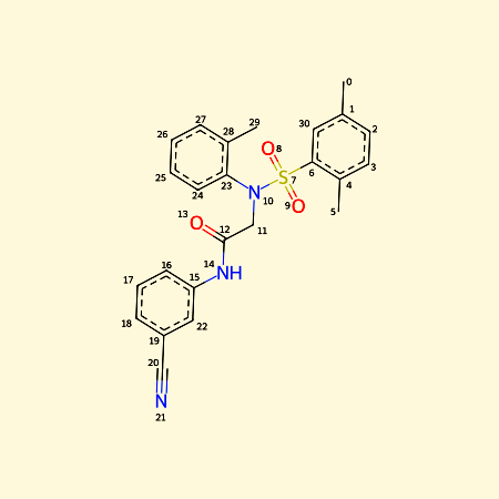 Cc1ccc(C)c(S(=O)(=O)N(CC(=O)Nc2cccc(C#N)c2)c2ccccc2C)c1